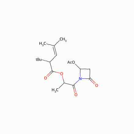 CC(=O)OC1CC(=O)N1C(=O)C(C)OC(=O)C(C=C(C)C)C(C)(C)C